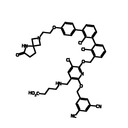 N#Cc1cc(C#N)cc(COc2nc(OCc3cccc(-c4cccc(-c5ccc(OCCN6CC7(CCC(=O)N7)C6)cc5)c4Cl)c3Cl)c(Cl)cc2CNCCCC(=O)O)c1